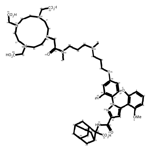 COc1cccc(OC)c1-c1cc(C(=O)NC2(C(=O)O)C3CC4CC(C3)CC2C4)nn1-c1ccc(OCCCN(C)CCCN(C)C(=O)CN2CCN(CC(=O)O)CCN(CC(=O)O)CCN(CC(=O)O)CC2)cc1C(C)C